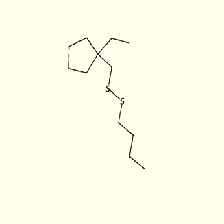 CCCCSSCC1(CC)CCCC1